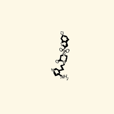 Nc1ccncc1C=CCN1CCN(S(=O)(=O)c2cc3ccc(Cl)cc3s2)CC1=O